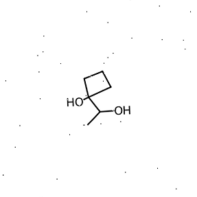 [CH2]C(O)C1(O)CCC1